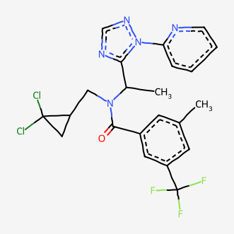 Cc1cc(C(=O)N(CC2CC2(Cl)Cl)C(C)c2ncnn2-c2ccccn2)cc(C(F)(F)F)c1